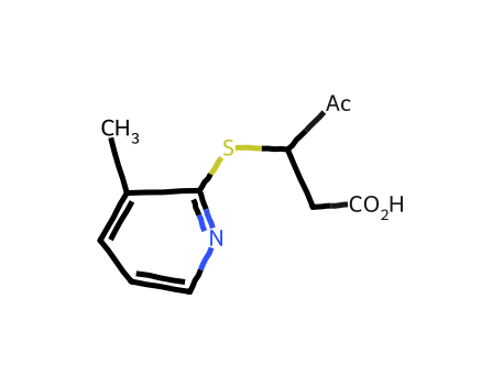 CC(=O)C(CC(=O)O)Sc1ncccc1C